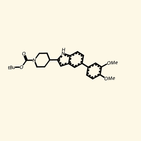 COc1ccc(-c2ccc3[nH]c(C4CCN(C(=O)OC(C)(C)C)CC4)cc3c2)cc1OC